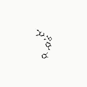 N#Cc1ncc(N2C(=O)C3(CCC3)N(c3ccc(C(=O)NCc4ccccc4Cl)c(F)c3)C2=S)cc1C(F)(F)F